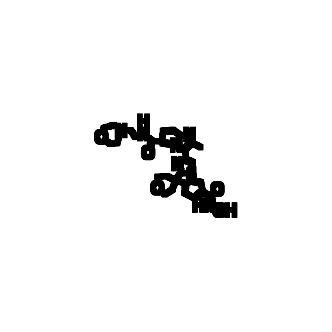 Cc1nc2ccc(C(=O)NCCN3CCOCC3)cn2c1-c1csc(C2(c3ccc(C(=O)NO)cc3)CCOCC2)n1